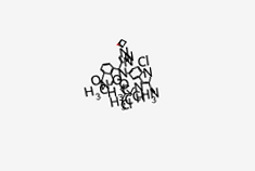 Cn1ccc2c(C(c3cn(C45CC(C4)C5)nn3)N(C(=O)OCCCCl)c3cc(Cl)c4ncc(C#N)c(NCC(C)(C)C)c4c3)cccc2c1=O